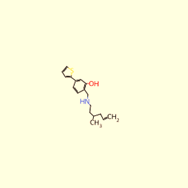 C=CCC(C)CCNCc1ccc(-c2cccs2)cc1O